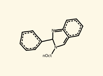 CCCCCCCCN1C=c2ccccc2=NC1c1ccccc1